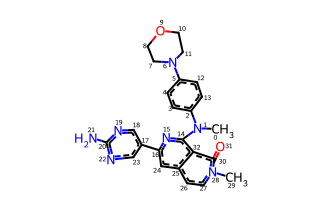 CN(c1ccc(N2CCOCC2)cc1)c1nc(-c2cnc(N)nc2)cc2ccn(C)c(=O)c12